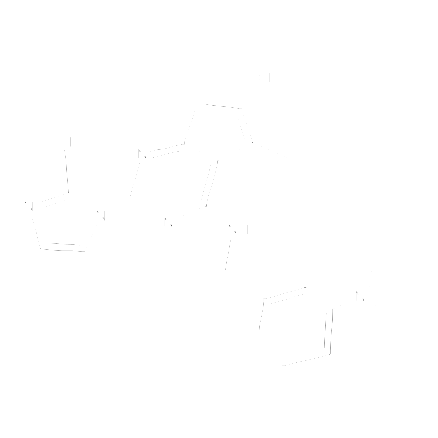 Cc1sc2nc(-n3ccnc3C)nc(NCc3cccc([N+](=O)[O-])c3)c2c1Cl